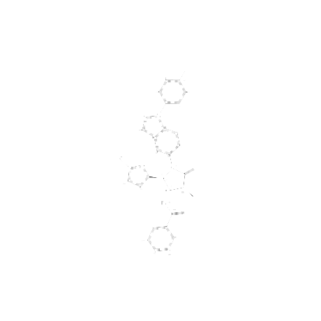 C[C@@H]1C(=O)N(c2ccc3c(cnn3-c3ccc(F)cc3)c2)[C@H](c2ccn(C)n2)[C@H]1NC(=O)c1cccnc1